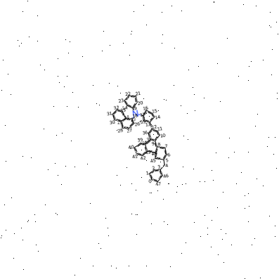 c1ccc(Cc2ccc3c4ccc(-c5cccc(N(c6ccccc6)c6cccc7ccccc67)c5)cc4c4ccccc4c3c2)cc1